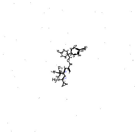 C=C(/C=C(\C=C(/N)C1CC1)C(F)(F)F)COCC1(c2ccc(F)cc2)CCN(C)CC1